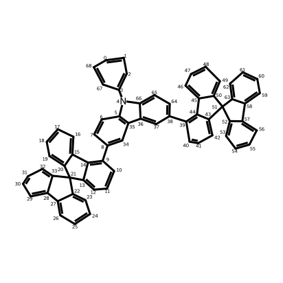 c1ccc(-n2c3ccc(-c4cccc5c4-c4ccccc4C54c5ccccc5-c5ccccc54)cc3c3cc(-c4cccc5c4-c4ccccc4C54c5ccccc5-c5ccccc54)ccc32)cc1